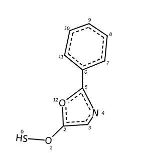 SOc1cnc(-c2ccccc2)o1